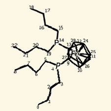 CCCCP(CCCC)[C]12[CH]3[CH]4[CH]5[C]1(P(CCCC)CCCC)[Fe]43521678[CH]2[CH]1[CH]6[CH]7[CH]28